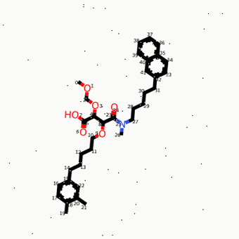 COCOC(C(=O)O)C(OCCCCCc1ccc(C)c(C)c1)C(=O)N(C)CCCCCc1ccc2ccccc2c1